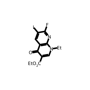 CCOC(=O)c1cn(CC)c2nc(F)c(I)cc2c1=O